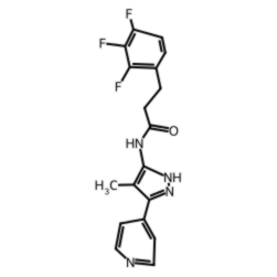 Cc1c(-c2ccncc2)n[nH]c1NC(=O)CCc1ccc(F)c(F)c1F